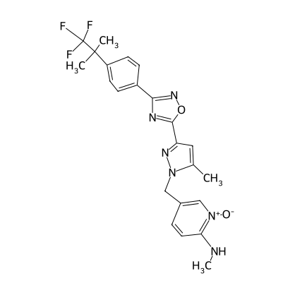 CNc1ccc(Cn2nc(-c3nc(-c4ccc(C(C)(C)C(F)(F)F)cc4)no3)cc2C)c[n+]1[O-]